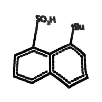 CC(C)(C)c1cccc2cccc(S(=O)(=O)O)c12